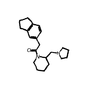 O=C(Cc1ccc2c(c1)CCC2)N1CCCCC1CN1CCCC1